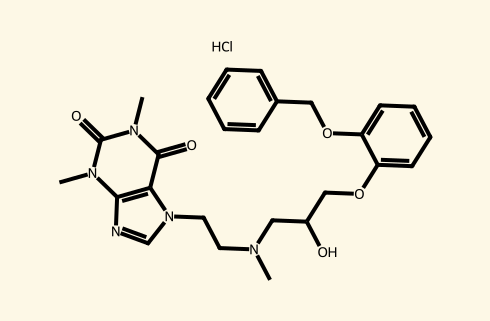 CN(CCn1cnc2c1c(=O)n(C)c(=O)n2C)CC(O)COc1ccccc1OCc1ccccc1.Cl